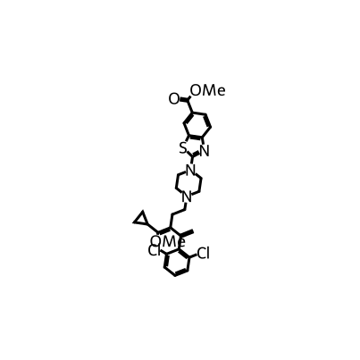 C=C(/C(CCN1CCN(c2nc3ccc(C(=O)OC)cc3s2)CC1)=C(\OC)C1CC1)c1c(Cl)cccc1Cl